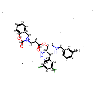 CCc1cccc(CNC[C@@H](OC(=O)CCN2Cc3ccccc3OC2=O)[C@@H](N)Cc2cc(F)cc(F)c2)c1